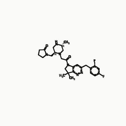 C[C@@H]1CN(CC(=O)N2CC(C)(C)c3nnc(Cc4ccc(F)cc4F)cc32)[C@@H](CN2CCCC2=O)CN1